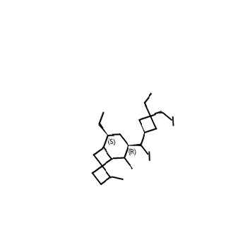 CC[C@H]1C[C@@H](C(I)C2CC(CC)(CI)C2)C(C)C2C1CC21CCC1C